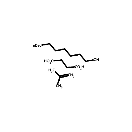 C=C(C)C.CCCCCCCCCCCCCCCCO.O=C(O)CCC(=O)O